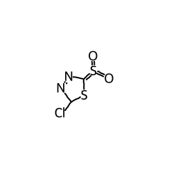 O=S(=O)=C1N=NC(Cl)S1